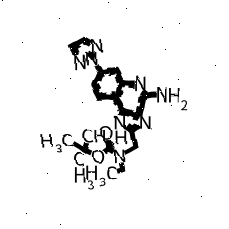 CCN(Cc1nc2c(N)nc3cc(-n4nccn4)ccc3c2[nH]1)C(=O)OC(C)(C)C